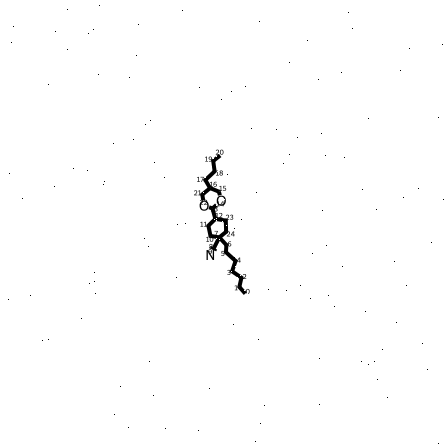 CCCCCCCC1(C#N)CCC(C2OCC(CCCC)CO2)CC1